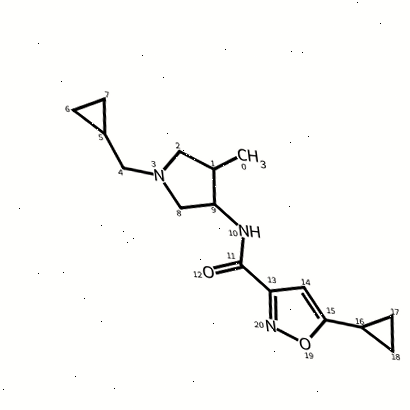 CC1CN(CC2CC2)CC1NC(=O)c1cc(C2CC2)on1